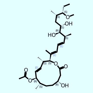 CC[C@H](OC)[C@@H](C)C[C@H](O)[C@H](O)[C@@H](C)/C=C/C=C(\C)[C@H]1OC(=O)C[C@H](O)CC[C@H](C)[C@@H](OC(C)=O)/C=C/[C@@H]1C